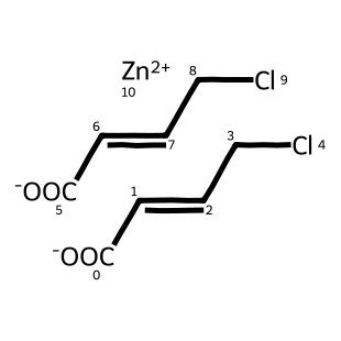 O=C([O-])/C=C/CCl.O=C([O-])/C=C/CCl.[Zn+2]